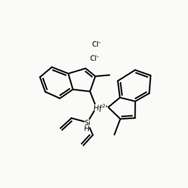 C=C[SiH](C=C)[Hf+2]([CH]1C(C)=Cc2ccccc21)[CH]1C(C)=Cc2ccccc21.[Cl-].[Cl-]